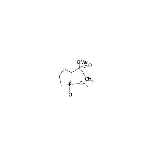 COP(C)(=O)C1CCCP1(C)=O